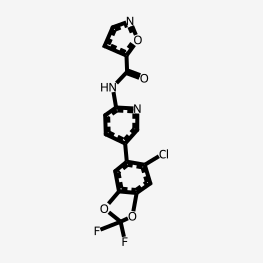 O=C(Nc1ccc(-c2cc3c(cc2Cl)OC(F)(F)O3)cn1)c1ccno1